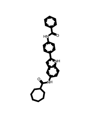 O=C(Nc1ccc(-c2cc3cc(NC(=O)C4CCCCCC4)ccc3[nH]2)cc1)c1ccccc1